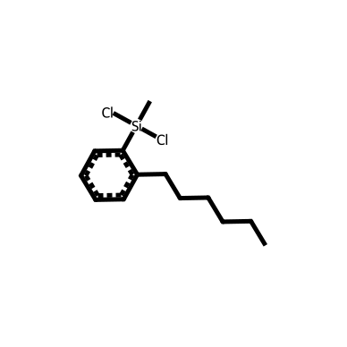 CCCCCCc1ccccc1[Si](C)(Cl)Cl